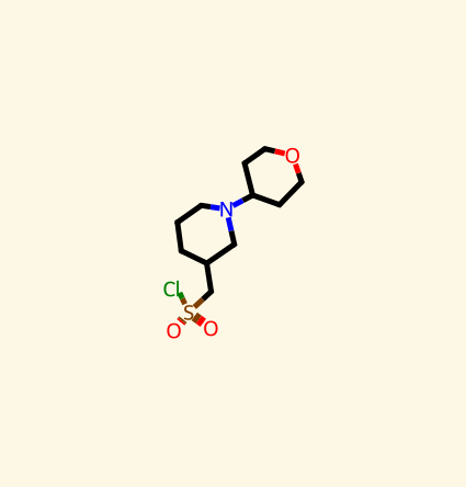 O=S(=O)(Cl)CC1CCCN(C2CCOCC2)C1